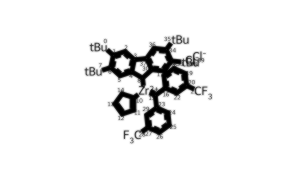 CC(C)(C)c1cc2c(cc1C(C)(C)C)[CH]([Zr+2]([C]1=CC=CC1)=[C](c1cccc(C(F)(F)F)c1)c1cccc(C(F)(F)F)c1)c1cc(C(C)(C)C)c(C(C)(C)C)cc1-2.[Cl-].[Cl-]